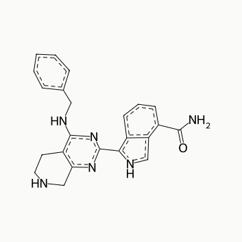 NC(=O)c1cccc2c(-c3nc4c(c(NCc5ccccc5)n3)CCNC4)[nH]cc12